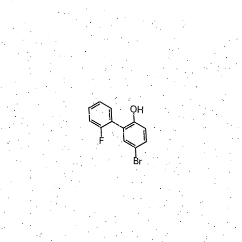 Oc1ccc(Br)cc1-c1ccccc1F